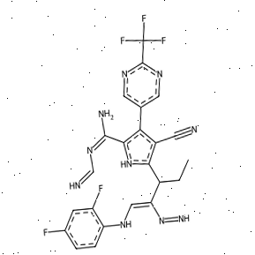 CCC(/C(=C/Nc1ccc(F)cc1F)N=N)c1[nH]c(/C(N)=N\C=N)c(-c2cnc(C(F)(F)F)nc2)c1C#N